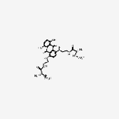 C[C@H](NC(=O)O)C(=O)NCCNc1ccc(NCCNC(=O)[C@H](C)NC(=O)O)c2c1C(=O)c1c(O)ccc(O)c1C2=O